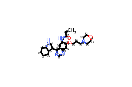 C=CC(=O)Nc1cc2c(C3CNC4CCCCC43)ncnc2cc1OCCCN1CCOCC1